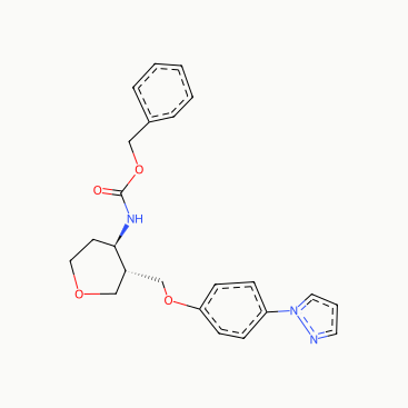 O=C(N[C@@H]1CCOC[C@H]1COc1ccc(-n2cccn2)cc1)OCc1ccccc1